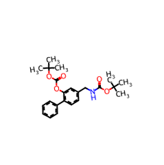 CC(C)(C)OC(=O)NCc1ccc(-c2ccccc2)c(OC(=O)OC(C)(C)C)c1